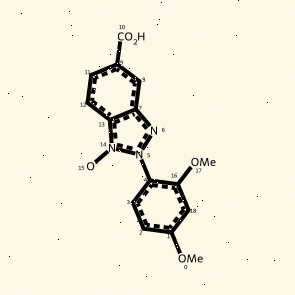 COc1ccc(-n2nc3cc(C(=O)O)ccc3[n+]2[O-])c(OC)c1